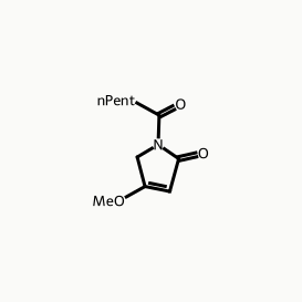 CCCCCC(=O)N1CC(OC)=CC1=O